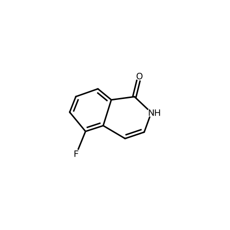 O=c1[nH]ccc2c(F)cccc12